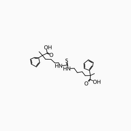 CC(CCCCNC(=S)NCCCCC(C)(C(=O)O)c1ccccc1)(C(=O)O)c1ccccc1